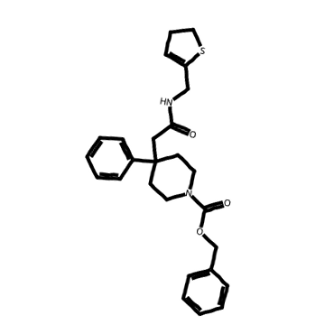 O=C(CC1(c2ccccc2)CCN(C(=O)OCc2ccccc2)CC1)NCC1=CCCS1